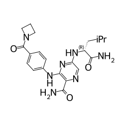 CC(C)C[C@@H](Nc1cnc(C(N)=O)c(Nc2ccc(C(=O)N3CCC3)cc2)n1)C(N)=O